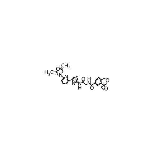 C[C@@H]1CN(c2cccc(-c3csc(NC(=O)CNC(=O)c4ccc5c(c4)[C@]4(CCO4)COC5)n3)n2)C[C@H](C)O1